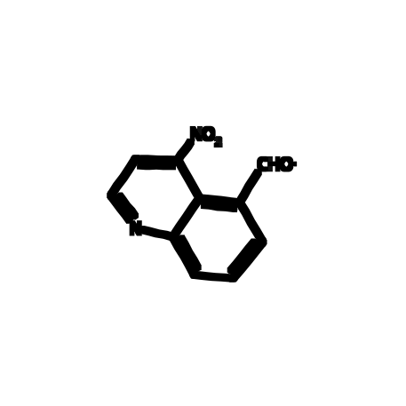 O=[C]c1cccc2nccc([N+](=O)[O-])c12